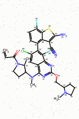 C=CC(=O)N1CCC(N(C)c2nc(OCC3CCCN3C)nc3c(F)c(-c4ccc(F)c5sc(N)c(C#N)c45)c(Cl)cc23)C1C